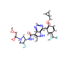 COCC(=O)N1C[C@H](F)[C@H](NC(=O)c2c(C)[nH]c3c(-c4cc(C(F)F)ccc4OCC4CC4)ncnc23)C1